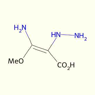 CO/C(N)=C(/NN)C(=O)O